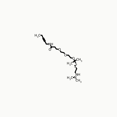 CCC#CCNC(=O)CCOCCOCCOC(C)(C)SSCCNN(C)C